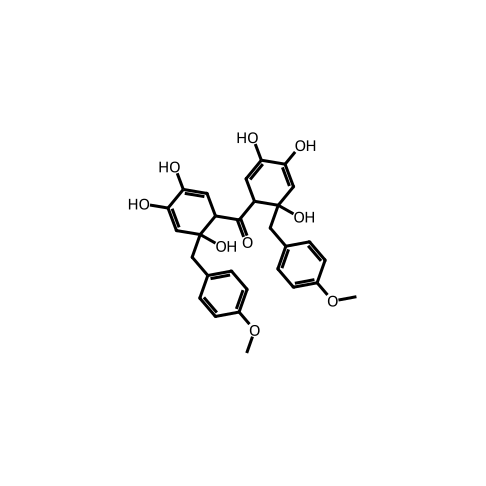 COc1ccc(CC2(O)C=C(O)C(O)=CC2C(=O)C2C=C(O)C(O)=CC2(O)Cc2ccc(OC)cc2)cc1